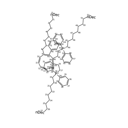 CCCCCCCCCCCCCCCCCCc1cccc[pH]c(CC[P+](CCCCCCCCCCCCCCCCCC)(c2ccccc2)c2ccccc2)c(CC[P+](CCCCCCCCCCCCCCCCCC)(c2ccccc2)c2ccccc2)c1-c1ccccc1